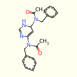 CC(=O)N(Cc1ccccc1)C1=CC(N(Cc2ccccc2)C(C)=O)NC=N1